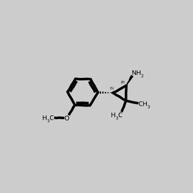 COc1cccc([C@@H]2[C@@H](N)C2(C)C)c1